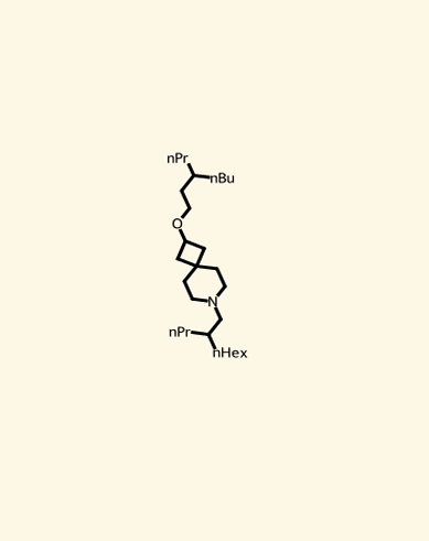 CCCCCCC(CCC)CN1CCC2(CC1)CC(OCCC(CCC)CCCC)C2